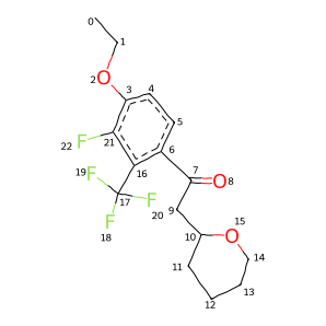 CCOc1ccc(C(=O)CC2CCCCO2)c(C(F)(F)F)c1F